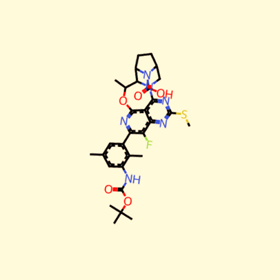 CSc1nc2c3c(nc(-c4cc(C)cc(NC(=O)OC(C)(C)C)c4C)c(F)c3n1)OC(C)C1C3CCC(CN21)N3C(=O)O